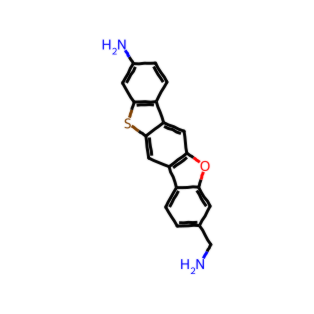 NCc1ccc2c(c1)oc1cc3c(cc12)sc1cc(N)ccc13